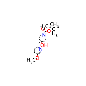 COc1ccc(CC2(O)CCN(C(=O)OC(C)(C)C)CC2)nc1